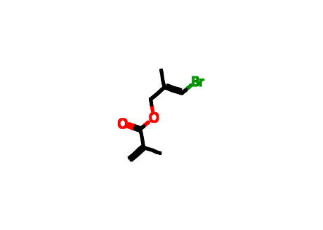 C=C(C)C(=O)OCC(C)=CBr